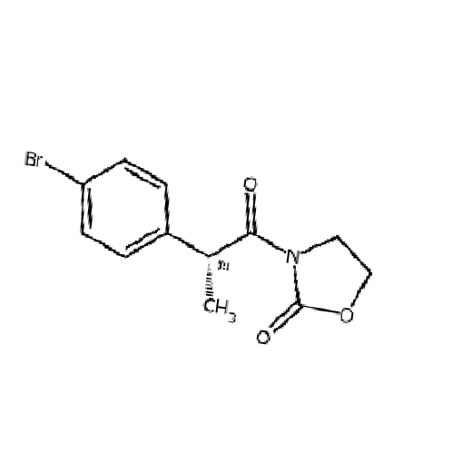 C[C@@H](C(=O)N1CCOC1=O)c1ccc(Br)cc1